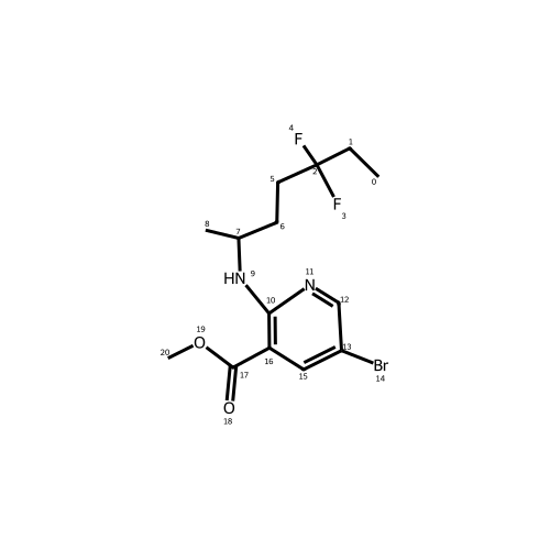 CCC(F)(F)CCC(C)Nc1ncc(Br)cc1C(=O)OC